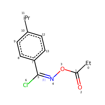 CCC(=O)O/N=C(/Cl)c1ccc(C(C)C)cc1